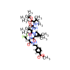 COC(=O)c1ccc(CCNC(=O)[C@H](CC(F)F)NC(=O)[C@@H]2C3C(CN2C(=O)[C@@H](NC(=O)N[C@H](C(=O)OC(C)(C)C)C(C)C)C(C)(C)C)C3(C)C)cc1